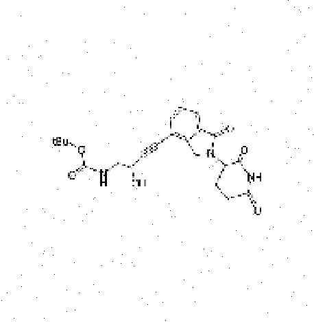 CC(C)(C)OC(=O)NCC(O)C#Cc1cccc2c1CN(C1CCC(=O)NC1=O)C2=O